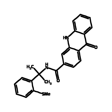 CSc1ccccc1C(C)(C)NC(=O)c1ccc2c(=O)c3ccccc3[nH]c2c1